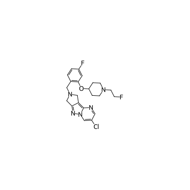 FCCN1CCC(Oc2cc(F)ccc2CN2Cc3nn4cc(Cl)cnc4c3C2)CC1